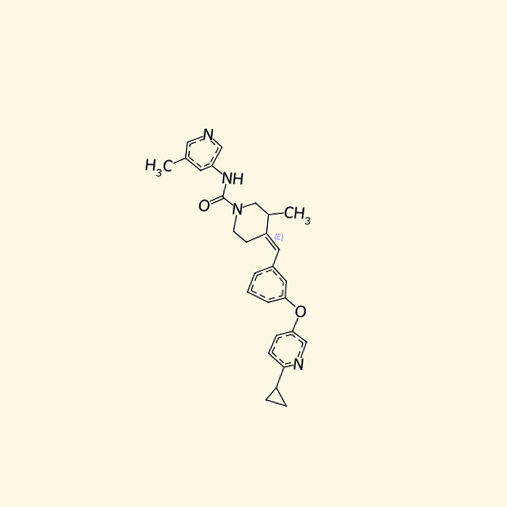 Cc1cncc(NC(=O)N2CC/C(=C\c3cccc(Oc4ccc(C5CC5)nc4)c3)C(C)C2)c1